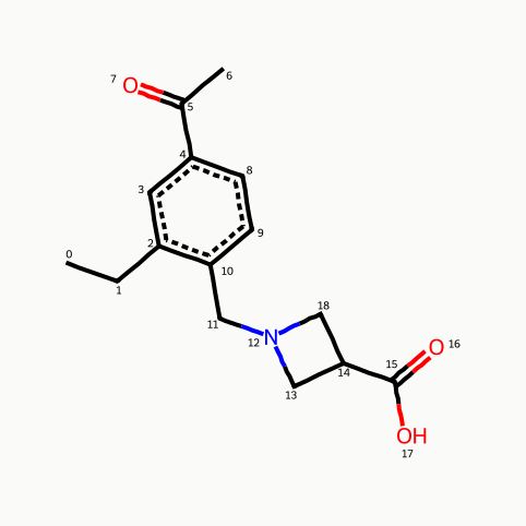 CCc1cc(C(C)=O)ccc1CN1CC(C(=O)O)C1